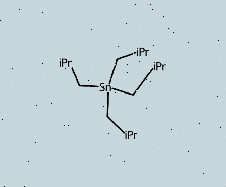 CC(C)[CH2][Sn]([CH2]C(C)C)([CH2]C(C)C)[CH2]C(C)C